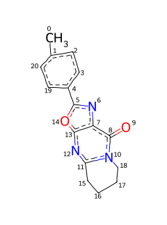 Cc1ccc(-c2nc3c(=O)n4c(nc3o2)CCCC4)cc1